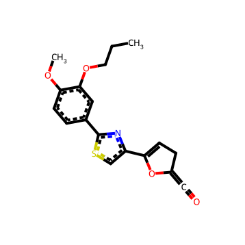 CCCOc1cc(-c2nc(C3=CCC(=C=O)O3)cs2)ccc1OC